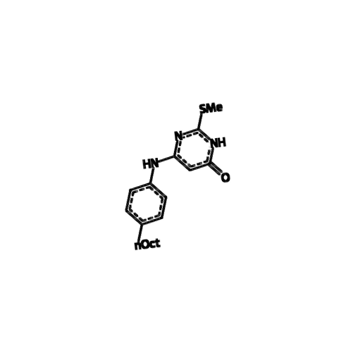 CCCCCCCCc1ccc(Nc2cc(=O)[nH]c(SC)n2)cc1